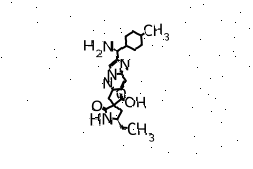 CC[C@@H]1CC(Cc2ccc3nc([C@@H](N)C4CCC(C)CC4)cn3n2)(C(=O)O)C(=O)N1